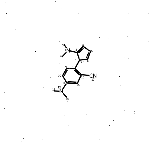 CN(C)C1=CC=CC1c1ccc(N(C)C)cc1C#N